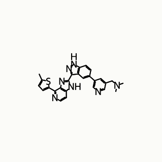 Cc1ccc(-c2nccc3[nH]c(-c4n[nH]c5ccc(-c6cncc(CN(C)C)c6)cc45)nc23)s1